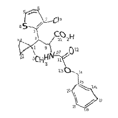 CC1(C(c2sccc2Cl)C(NC(=O)OCc2ccccc2)C(=O)O)CC1